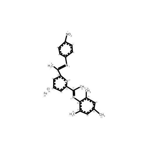 C/C(=N\c1ccc([N+](=O)[O-])cc1)c1cccc(/C(C)=N/c2c(C)cc(C)cc2C)n1.[Cl-].[Fe]